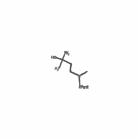 CCCCCN(C)CCC(O)(P)P